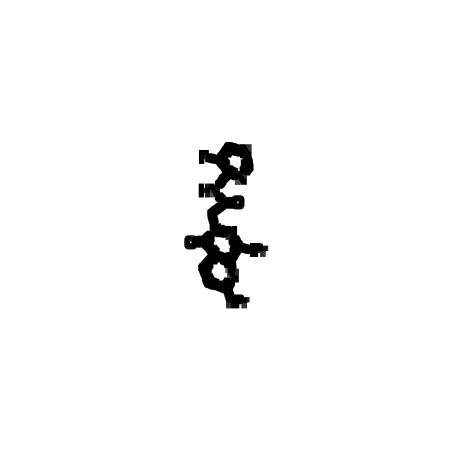 CCCc1ccc2c(=O)n(CC(=O)Nc3ncncc3F)nc(C(C)C)c2n1